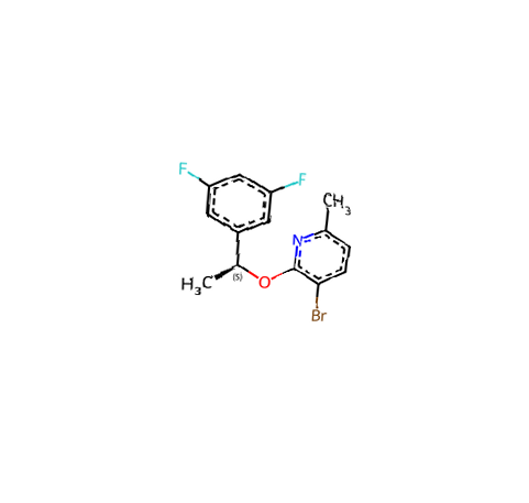 Cc1ccc(Br)c(O[C@@H](C)c2cc(F)cc(F)c2)n1